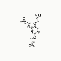 C(OC1=NCN(OCC2CO2)C(OCC2CO2)=N1)C1CO1